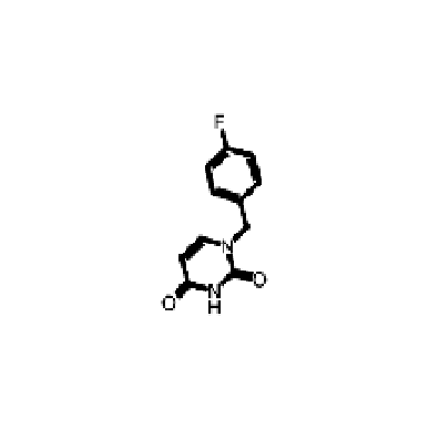 O=c1ccn(Cc2ccc(F)cc2)c(=O)[nH]1